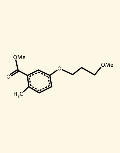 COCCCOc1ccc(C)c(C(=O)OC)c1